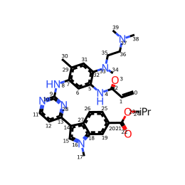 C=CC(=O)Nc1cc(Nc2nccc(-c3cn(C)c4cc(C(=O)OC(C)C)ccc34)n2)c(C)cc1N(C)CCN(C)C